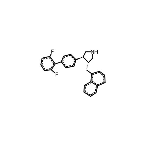 Fc1cccc(F)c1-c1ccc([C@H]2CNC[C@@H]2Cc2cccc3ccccc23)cc1